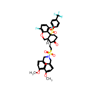 COc1ccc(CN(Cc2ccc(OC)cc2)S(=O)(=O)CC[C@@H]2C(=O)CCC3(S(=O)(=O)c4ccc(C(F)(F)F)cc4)c4c(F)ccc(F)c4OC[C@@H]23)cc1